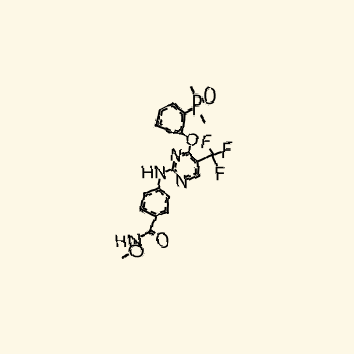 CONC(=O)c1ccc(Nc2ncc(C(F)(F)F)c(Oc3ccccc3P(C)(C)=O)n2)cc1